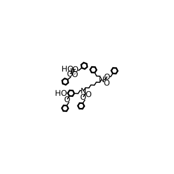 O=C(OCc1ccccc1)N(CCCCCCN(CCc1ccc(O)c(OCc2ccccc2)c1)C(=O)OCc1ccccc1)CCc1ccccc1.O=P(O)(OCc1ccccc1)OCc1ccccc1